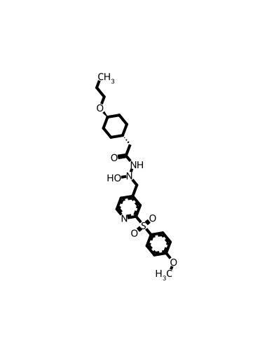 CCCO[C@H]1CC[C@H](CC(=O)NN(O)Cc2ccnc(S(=O)(=O)c3ccc(OC)cc3)c2)CC1